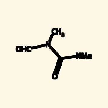 CNC(=O)N(C)C=O